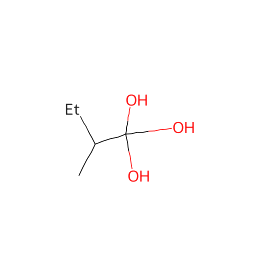 CCC(C)C(O)(O)O